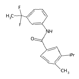 Cc1ccc(C(=O)Nc2cccc(C(C)(F)F)c2)cc1C(C)C